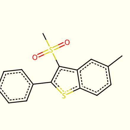 Cc1ccc2sc(-c3ccccc3)c(S(C)(=O)=O)c2c1